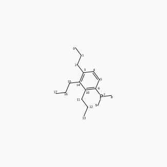 CCCc1ccc(P(C)C)c(CCC)c1CCC